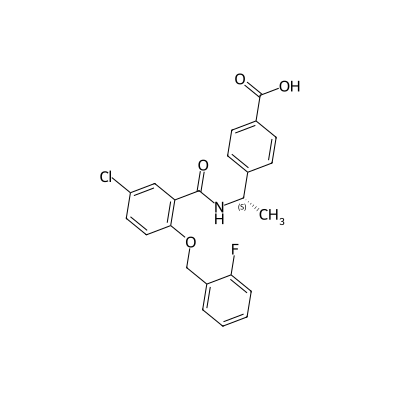 C[C@H](NC(=O)c1cc(Cl)ccc1OCc1ccccc1F)c1ccc(C(=O)O)cc1